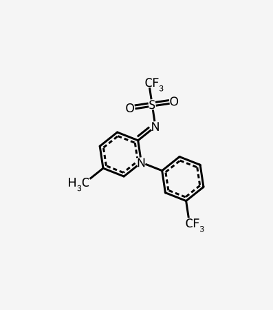 Cc1ccc(=NS(=O)(=O)C(F)(F)F)n(-c2cccc(C(F)(F)F)c2)c1